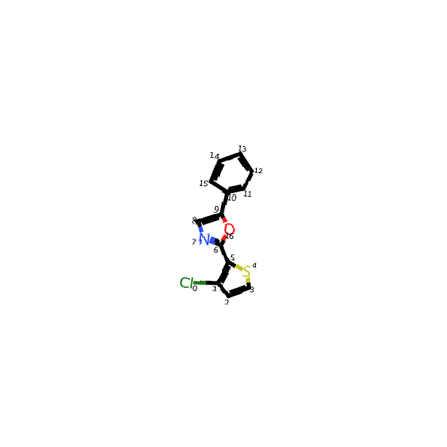 Clc1ccsc1-c1ncc(-c2ccccc2)o1